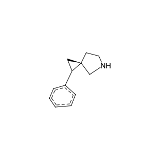 c1ccc(C2C[C@]23CCNC3)cc1